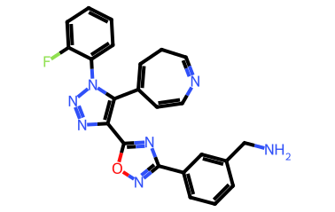 NCc1cccc(-c2noc(-c3nnn(-c4ccccc4F)c3C3=CCC=NC=C3)n2)c1